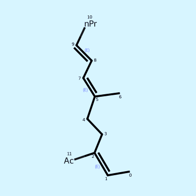 C/C=C(\CC/C(C)=C/C=C/CCC)C(C)=O